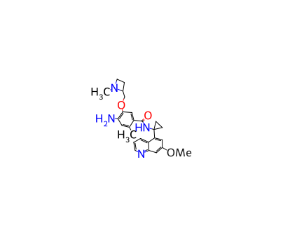 COc1cc(C2(NC(=O)c3cc(OCC4CCN4C)c(N)cc3C)CC2)c2cccnc2c1